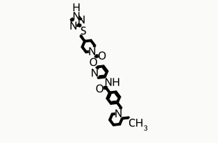 CCC1CCCCN1Cc1ccc(C(=O)Nc2ccc(OC(=O)N3CCC(CSc4nc[nH]n4)CC3)nc2)cc1